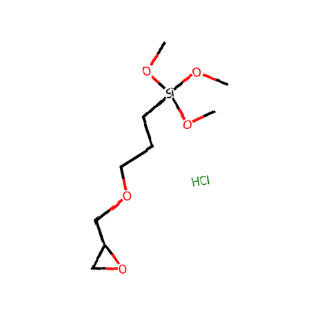 CO[Si](CCCOCC1CO1)(OC)OC.Cl